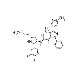 COCC[C@@H]1C[C@@H](NC(=O)Nc2c(C)c(-c3cnn(C)c3)nn2-c2ccccc2)[C@H](c2ccc(F)c(F)c2)N1